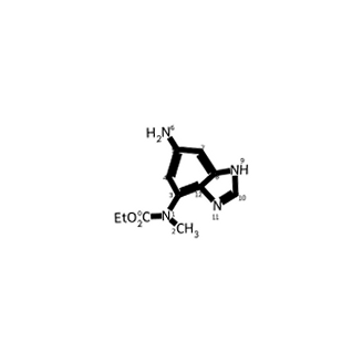 CCOC(=O)N(C)c1cc(N)cc2[nH]cnc12